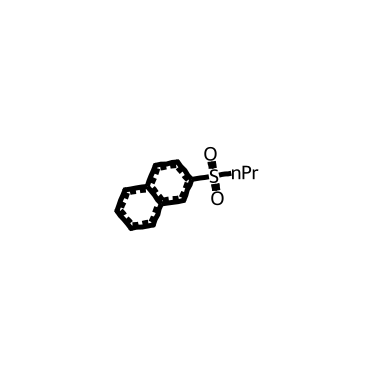 [CH2]CCS(=O)(=O)c1ccc2ccccc2c1